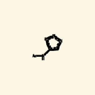 CC(=O)Nc1[c]nns1